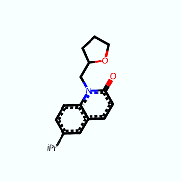 CC(C)c1ccc2c(ccc(=O)n2CC2CCCO2)c1